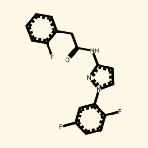 O=C(Cc1ccccc1F)Nc1ccn(-c2cc(F)ccc2F)n1